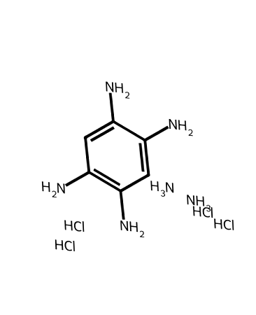 Cl.Cl.Cl.Cl.N.N.Nc1cc(N)c(N)cc1N